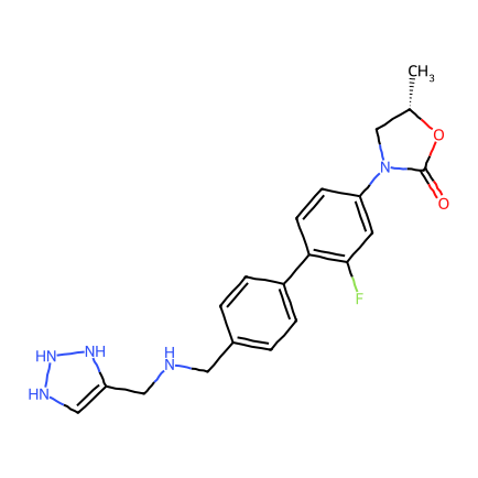 C[C@H]1CN(c2ccc(-c3ccc(CNCC4=CNNN4)cc3)c(F)c2)C(=O)O1